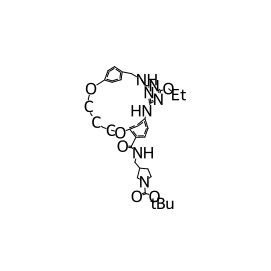 CCOc1nc2nc(n1)Nc1ccc(C(=O)NCC3CCN(C(=O)OC(C)(C)C)C3)c(c1)OCCCCCCOc1ccc(cc1)CN2